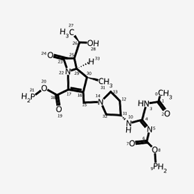 CC(=O)NC(=NC(=O)OP)N[C@H]1CCN(CC2=C(C(=O)OP)N3C(=O)C([C@@H](C)O)[C@H]3[C@H]2C)C1